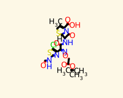 CC1=C(C(=O)O)N2C(=O)C(NC(=O)C(=NOCC(=O)OC(C)(C)C)c3nc(NC=O)sc3Cl)[C@@H]2SC1